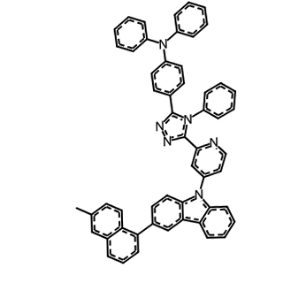 Cc1ccc2c(-c3ccc4c(c3)c3ccccc3n4-c3ccnc(-c4nnc(-c5ccc(N(c6ccccc6)c6ccccc6)cc5)n4-c4ccccc4)c3)cccc2c1